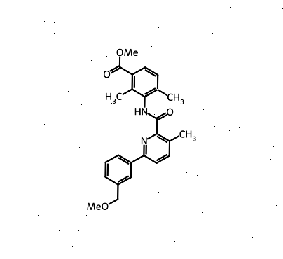 COCc1cccc(-c2ccc(C)c(C(=O)Nc3c(C)ccc(C(=O)OC)c3C)n2)c1